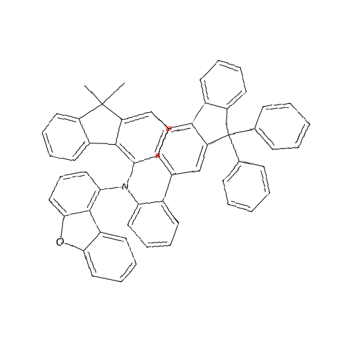 CC1(C)c2ccccc2-c2c(N(c3ccccc3-c3ccc4c(c3)C(c3ccccc3)(c3ccccc3)c3ccccc3-4)c3cccc4oc5ccccc5c34)cccc21